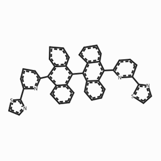 c1cc(-c2nccs2)nc(-c2c3ccccc3c(-c3c4ccccc4c(-c4cccc(-c5nccs5)n4)c4ccccc34)c3ccccc23)c1